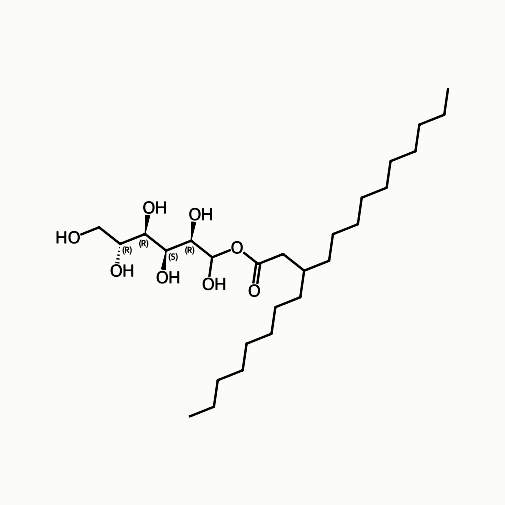 CCCCCCCCCCC(CCCCCCCC)CC(=O)OC(O)[C@H](O)[C@@H](O)[C@H](O)[C@H](O)CO